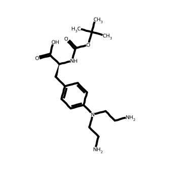 CC(C)(C)OC(=O)N[C@@H](Cc1ccc(N(CCN)CCN)cc1)C(=O)O